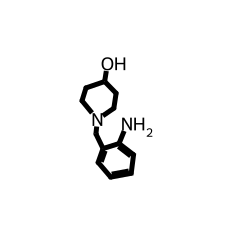 Nc1ccccc1CN1CCC(O)CC1